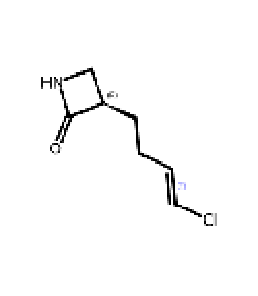 O=C1NC[C@H]1CC/C=C/Cl